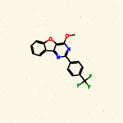 COc1nc(-c2ccc(C(F)(F)F)cc2)nc2c1oc1ccccc12